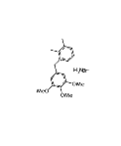 COc1cc(C[n+]2cccc(C)c2C)cc(OC)c1OC.N.[Br-]